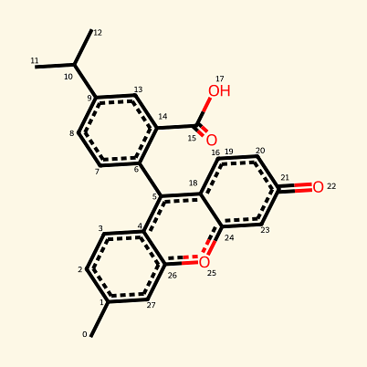 Cc1ccc2c(-c3ccc(C(C)C)cc3C(=O)O)c3ccc(=O)cc-3oc2c1